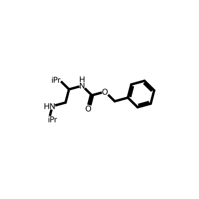 CC(C)NCC(NC(=O)OCc1ccccc1)C(C)C